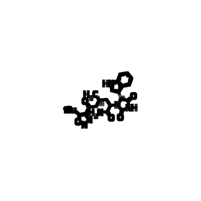 C[C@H](CC(=O)c1nnoc1C(C)(C)C)CC(C(N)=O)N1C(=O)NC(=O)[C@H]1c1c[nH]c2ccccc12